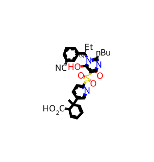 CCCCc1nc(=O)c(S(=O)(=O)c2ccc(C3(C)C=CC=CC3C(=O)O)cn2)c(O)n1[C@@H](CC)c1cccc(C#N)c1